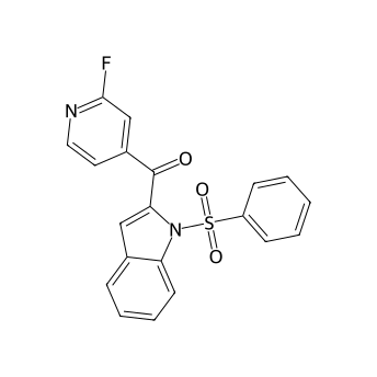 O=C(c1ccnc(F)c1)c1cc2ccccc2n1S(=O)(=O)c1ccccc1